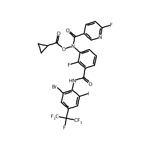 O=C(Nc1c(Br)cc(C(F)(C(F)(F)F)C(F)(F)F)cc1I)c1cccc(N(OC(=O)C2CC2)C(=O)c2ccc(F)nc2)c1F